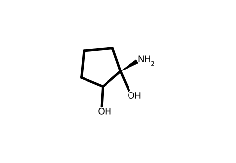 N[C@]1(O)CCCC1O